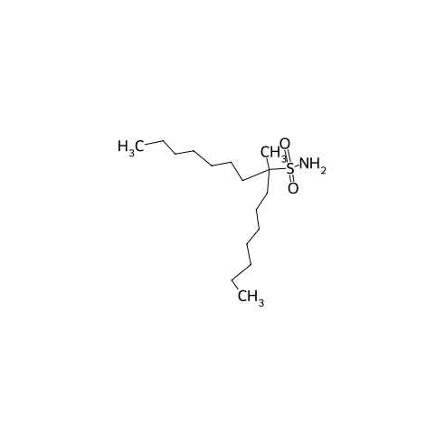 CCCCCCCC(C)(CCCCCCC)S(N)(=O)=O